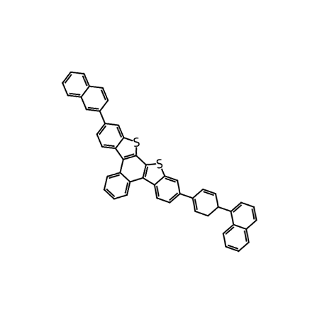 C1=CC(c2cccc3ccccc23)CC=C1c1ccc2c(c1)sc1c3sc4cc(-c5ccc6ccccc6c5)ccc4c3c3ccccc3c21